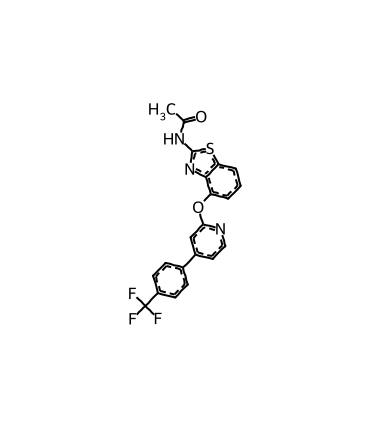 CC(=O)Nc1nc2c(Oc3cc(-c4ccc(C(F)(F)F)cc4)ccn3)cccc2s1